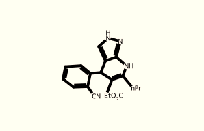 CCCC1=C(C(=O)OCC)C(c2ccccc2C#N)c2c[nH]nc2N1